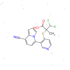 CC(Sc1ccncc1-c1ccc(C#N)c2cccn12)(C(=O)O)C(F)F